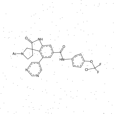 CC(=O)N1CCC2(C1)C(=O)Nc1cc(C(=O)Nc3ccc(OC(F)(F)Cl)cc3)cc(-c3cncnc3)c12